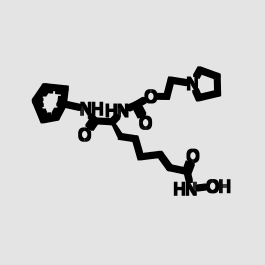 O=C(CCCCC[C@H](NC(=O)OCCN1CCCC1)C(=O)Nc1ccccc1)NO